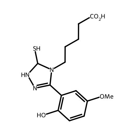 COc1ccc(O)c(C2=NNC(S)N2CCCCC(=O)O)c1